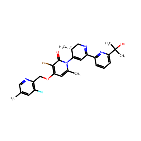 Cc1cnc(COc2cc(C)n(C3=CC(c4cccc(C(C)(C)O)n4)=NC[C@H]3C)c(=O)c2Br)c(F)c1